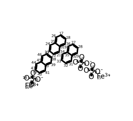 O=S(=O)([O-])[O-].O=S(=O)([O-])[O-].O=S(=O)([O-])[O-].[Fe+3].[Fe+3].c1ccc2ccccc2c1.c1ccc2ccccc2c1.c1ccc2ccccc2c1